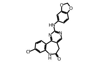 O=C1Cc2cnc(Nc3ccc4c(c3)OCO4)nc2-c2ccc(Cl)cc2N1